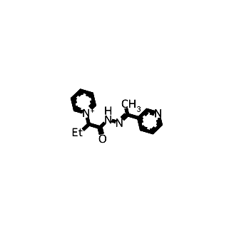 CCC(C(=O)NN=C(C)c1cccnc1)[n+]1ccccc1